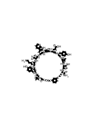 CC(C)[C@]1(C)NC(=O)[C@H](Cc2ccc(O)cc2)NC(=O)[C@H](CCC(=O)O)NC(=O)C(C)(C)NC(=O)[C@H](Cc2c[nH]c3ncccc23)NC(=O)[C@H]([C@@H](C)O)NC(=O)[C@H](CCCCN)NC(=O)[C@H](Cc2ccc(O)cc2)NC(=O)[C@H](C(C)(C)C)NC(=O)CCSCc2cccc(c2)CSC[C@@H](C(N)=O)NC(=O)[C@H]([C@@H](C)O)NC1=O